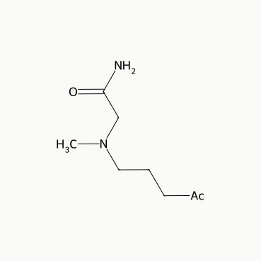 CC(=O)CCCN(C)CC(N)=O